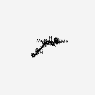 COc1cc(Nc2ncc(C)c(Nc3ccccc3N(C)SC)n2)ccc1C(=O)NCCCCCCC(=O)NOCc1ccccc1